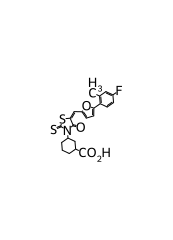 Cc1cc(F)ccc1-c1ccc(/C=C2/SC(=S)N(C3CCCC(C(=O)O)C3)C2=O)o1